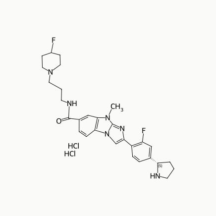 Cl.Cl.Cn1c2cc(C(=O)NCCCN3CCC(F)CC3)ccc2n2cc(-c3ccc([C@@H]4CCCN4)cc3F)nc12